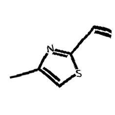 C=Cc1nc(C)cs1